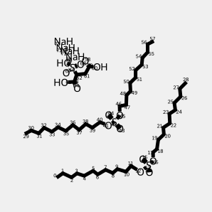 CCCCCCCCCCCCOS(=O)(=O)OCCCCCCCCCCCC.CCCCCCCCCCCCOS(=O)(=O)OCCCCCCCCCCCC.O=C(O)CC(C(=O)O)S(=O)(=O)O.[NaH].[NaH].[NaH].[NaH]